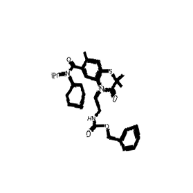 Cc1cc2c(cc1C(=O)N(C(C)C)C1CCCCC1)N(CCNC(=O)OCc1ccccc1)C(=O)C(C)(C)S2